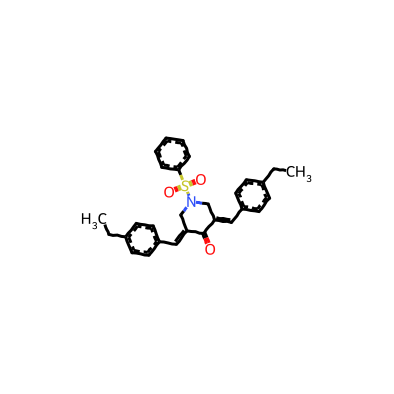 CCc1ccc(C=C2CN(S(=O)(=O)c3ccccc3)CC(=Cc3ccc(CC)cc3)C2=O)cc1